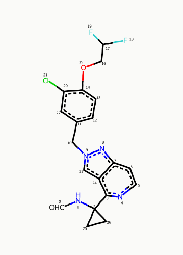 O=CNC1(c2nccc3nn(Cc4ccc(OCC(F)F)c(Cl)c4)cc23)CC1